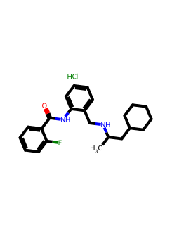 CC(CC1CCCCC1)NCc1ccccc1NC(=O)c1ccccc1F.Cl